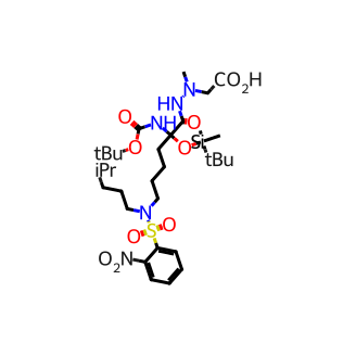 CC(C)CCCN(CCCCC(NC(=O)OC(C)(C)C)(O[Si](C)(C)C(C)(C)C)C(=O)NN(C)CC(=O)O)S(=O)(=O)c1ccccc1[N+](=O)[O-]